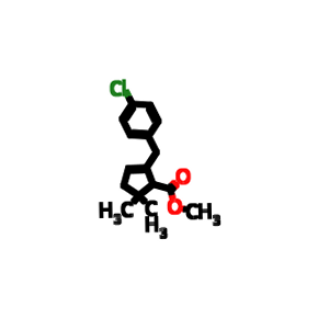 COC(=O)C1C(Cc2ccc(Cl)cc2)=CCC1(C)C